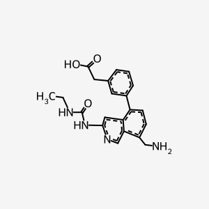 CCNC(=O)Nc1cc2c(-c3cccc(CC(=O)O)c3)ccc(CN)c2cn1